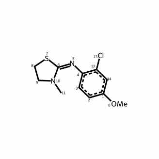 COc1ccc(N=C2SCCN2C)c(Cl)c1